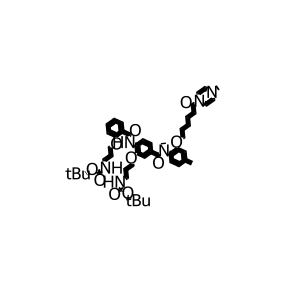 Cc1ccc(N(C)C(=O)c2ccc(NC(=O)c3ccccc3OCCCNC(=O)OC(C)(C)C)c(OCCCNC(=O)OC(C)(C)C)c2)c(OCCCCCC(=O)N2CCN(C)CC2)c1